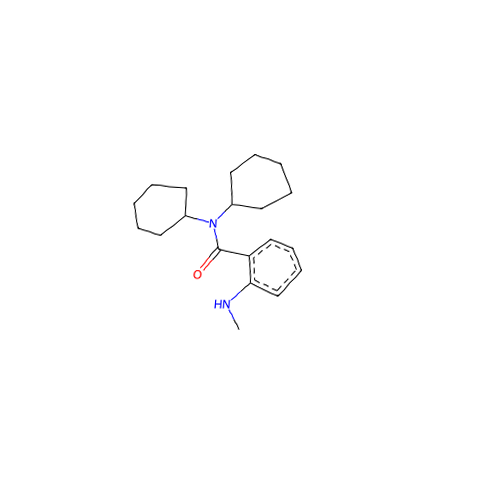 CNc1ccccc1C(=O)N(C1CCCCC1)C1CCCCC1